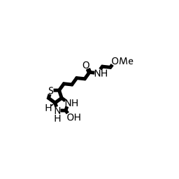 COCCNC(=O)CCCCC1SC[C@@H]2NC(O)NC12